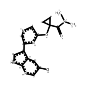 CN(C)C(=O)C1(Oc2cncc(-c3c[nH]c4ncc(Cl)cc34)n2)CC1